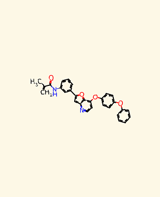 C=C(C)C(=O)Nc1cccc(-c2cc3nccc(Oc4ccc(Oc5ccccc5)cc4)c3o2)c1